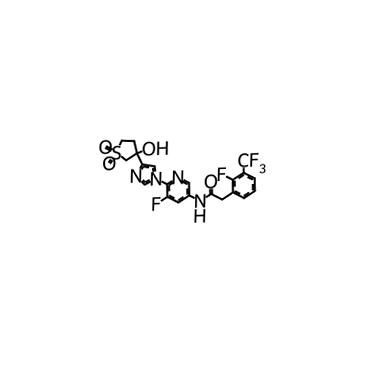 O=C(Cc1cccc(C(F)(F)F)c1F)Nc1cnc(-n2cnc(C3(O)CCS(=O)(=O)C3)c2)c(F)c1